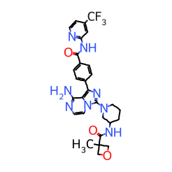 CC1(C(=O)NC2CCCN(c3nc(-c4ccc(C(=O)Nc5cc(C(F)(F)F)ccn5)cc4)c4c(N)nccn34)C2)COC1